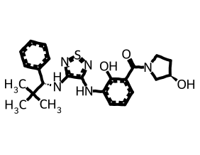 CC(C)(C)[C@@H](Nc1nsnc1Nc1cccc(C(=O)N2CC[C@@H](O)C2)c1O)c1ccccc1